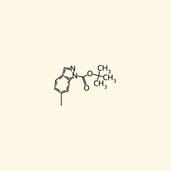 CC(C)(C)OC(=O)n1ncc2ccc(I)cc21